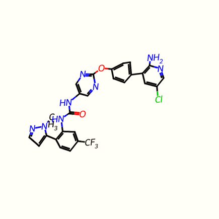 Cn1nccc1-c1ccc(C(F)(F)F)cc1NC(=O)Nc1cnc(Oc2ccc(-c3cc(Cl)cnc3N)cc2)nc1